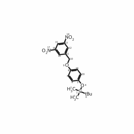 CC(C)(C)[Si](C)(C)Oc1ccc(OCc2cc([N+](=O)[O-])cc([N+](=O)[O-])c2)cc1